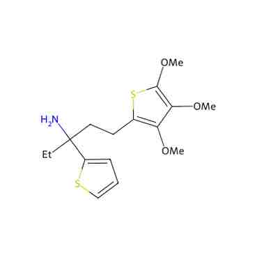 CCC(N)(CCc1sc(OC)c(OC)c1OC)c1cccs1